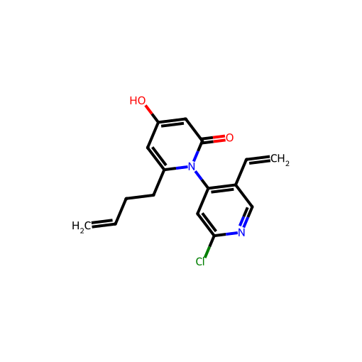 C=CCCc1cc(O)cc(=O)n1-c1cc(Cl)ncc1C=C